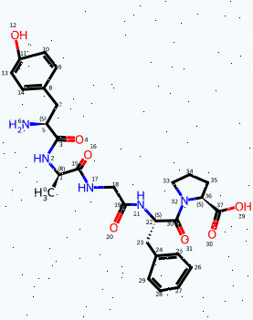 C[C@@H](NC(=O)[C@@H](N)Cc1ccc(O)cc1)C(=O)NCC(=O)N[C@@H](Cc1ccccc1)C(=O)N1CCC[C@H]1C(=O)O